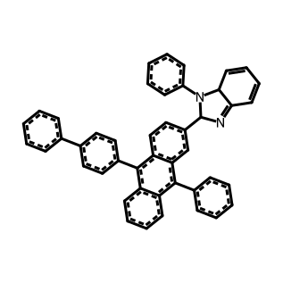 C1=CC2=NC(c3ccc4c(-c5ccc(-c6ccccc6)cc5)c5ccccc5c(-c5ccccc5)c4c3)N(c3ccccc3)C2C=C1